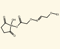 CCOCC=NOCC(=O)O[N+]1(O)C(=O)CCC1=O